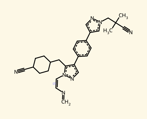 C=N/C=C\n1ncc(-c2ccc(-c3cnn(CC(C)(C)C#N)c3)cc2)c1CC1CCC(C#N)CC1